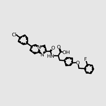 O=C(NC(Cc1ccc(OCc2ccccc2F)cc1)C(=O)O)c1cn2cc(-c3ccc(Cl)cc3)ccc2n1